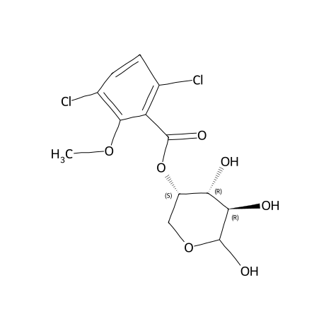 COc1c(Cl)ccc(Cl)c1C(=O)O[C@H]1COC(O)[C@H](O)[C@H]1O